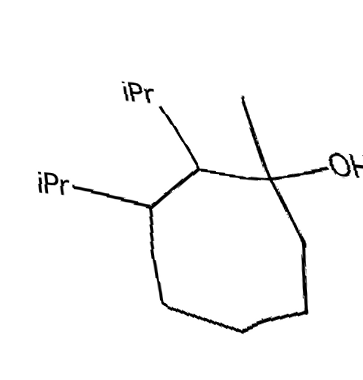 CC(C)C1CCCCC(C)(O)C1C(C)C